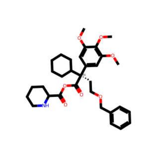 COc1cc([C@@](CCOCc2ccccc2)(C(=O)OC(=O)C2CCCCN2)C2CCCCC2)cc(OC)c1OC